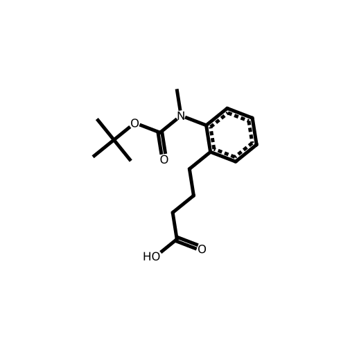 CN(C(=O)OC(C)(C)C)c1ccccc1CCCC(=O)O